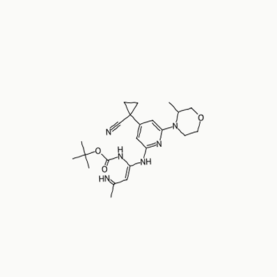 CC(=N)/C=C(\NC(=O)OC(C)(C)C)Nc1cc(C2(C#N)CC2)cc(N2CCOCC2C)n1